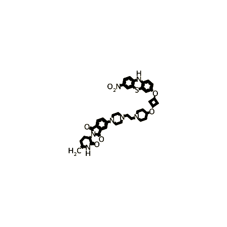 C=C1CCC(N2C(=O)c3ccc(N4CCN(CCN5CCC(O[C@H]6C[C@H](Oc7ccc8c(c7)Sc7cc([N+](=O)[O-])ccc7N8)C6)CC5)CC4)cc3C2=O)C(=O)N1